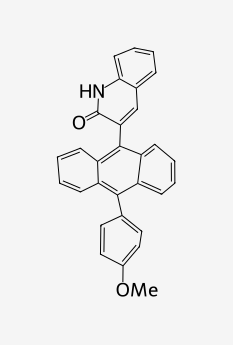 COc1ccc(-c2c3ccccc3c(-c3cc4ccccc4[nH]c3=O)c3ccccc23)cc1